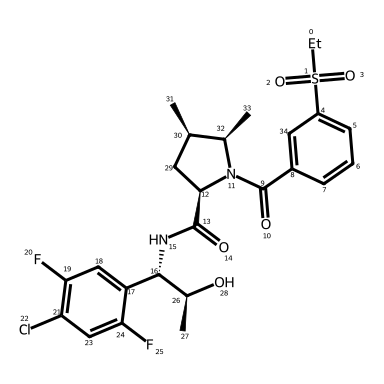 CCS(=O)(=O)c1cccc(C(=O)N2[C@@H](C(=O)N[C@@H](c3cc(F)c(Cl)cc3F)[C@H](C)O)C[C@@H](C)[C@H]2C)c1